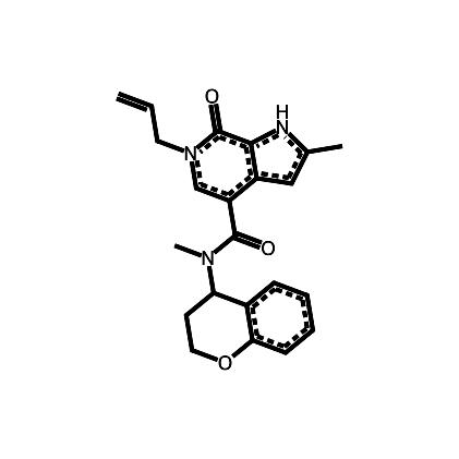 C=CCn1cc(C(=O)N(C)C2CCOc3ccccc32)c2cc(C)[nH]c2c1=O